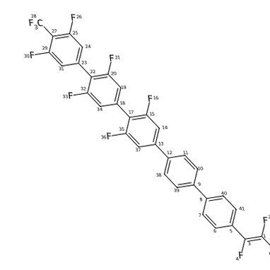 CCC/C(F)=C(\F)c1ccc(-c2ccc(-c3cc(F)c(-c4cc(F)c(-c5cc(F)c(C(F)(F)F)c(F)c5)c(F)c4)c(F)c3)cc2)cc1